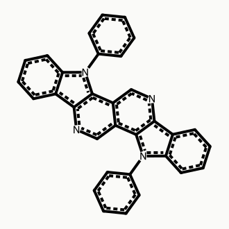 c1ccc(-n2c3ccccc3c3ncc4c(cnc5c6ccccc6n(-c6ccccc6)c45)c32)cc1